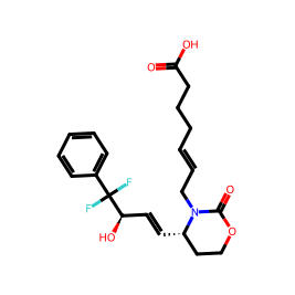 O=C(O)CCCC=CCN1C(=O)OCC[C@@H]1C=C[C@@H](O)C(F)(F)c1ccccc1